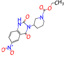 CCOC(=O)N1CCCC(n2c(=O)[nH]c3ccc([N+](=O)[O-])cc3c2=O)C1